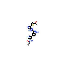 CCCC(=O)Nc1cncc(-c2ccc3[nH]nc(-c4nc5c(-c6ccc(C(C)=O)s6)cncc5[nH]4)c3c2)c1